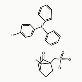 CC(C)c1ccc([S+](c2ccccc2)c2ccccc2)cc1.CC1(C)C2CCC1(CS(=O)(=O)[O-])C(=O)C2